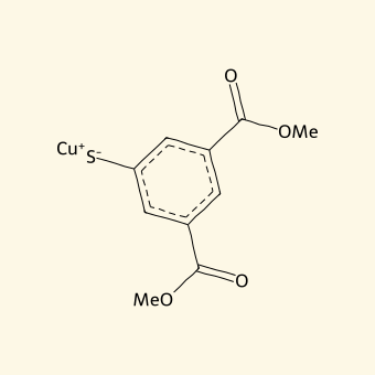 COC(=O)c1cc([S-])cc(C(=O)OC)c1.[Cu+]